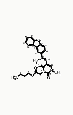 CCCCOC(=O)Cn1c(=O)c(N[C@H](C)c2ccc3oc4ccccc4c3c2)cn(C)c1=O